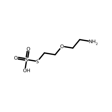 NCCOCCSS(=O)(=O)O